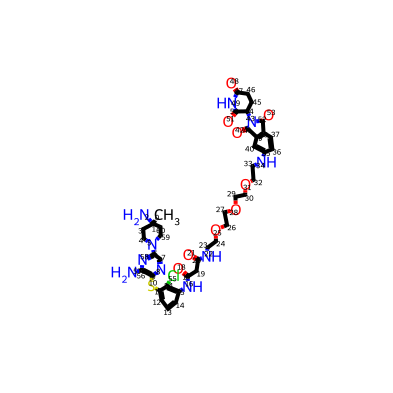 CC1(N)CCN(c2cnc(Sc3cccc(NC(=O)CC(=O)NCCOCCOCCOCCNc4ccc5c(c4)C(=O)N(C4CCC(=O)NC4=O)C5=O)c3Cl)c(N)n2)CC1